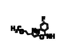 COCCc1cc2oc(=N)c3ccc(F)cc3n2n1